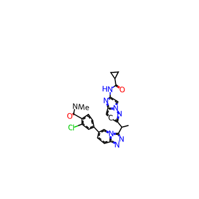 CNC(=O)c1ccc(-c2ccc3nnc(C(C)c4ccc5nc(NC(=O)C6CC6)cn5n4)n3c2)cc1Cl